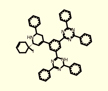 IC1([C@H]2C=C(c3cc(C4=NC(c5ccccc5)=NC(c5ccccc5)N4)cc(-c4nc(-c5ccccc5)nc(-c5ccccc5)n4)c3)CC(c3ccccc3)N2)CC=CCC1